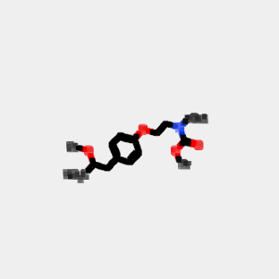 CCCCCCCCN(CCOc1ccc(CC(OCC)C(=O)O)cc1)C(=O)OC(C)C